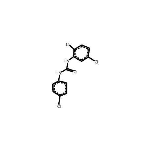 O=C(Nc1ccc(Cl)cc1)Nc1cc(Cl)ccc1Cl